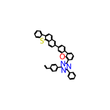 C=Cc1ccc(-c2nc(-c3ccccc3)nc(-c3cccc4c3oc3cc(-c5ccc6c(ccc7c8ccccc8sc67)c5)ccc34)n2)cc1